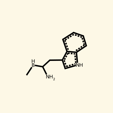 CBC(N)Cc1c[nH]c2ccccc12